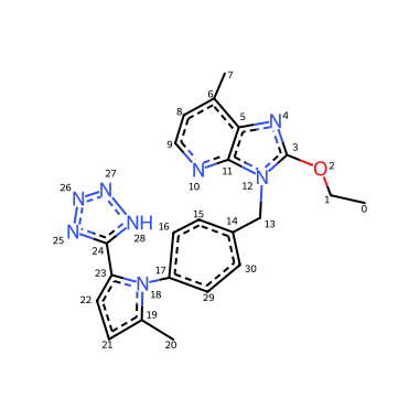 CCOc1nc2c(C)ccnc2n1Cc1ccc(-n2c(C)ccc2-c2nnn[nH]2)cc1